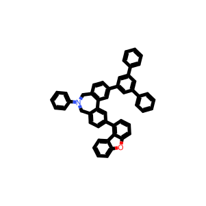 c1ccc(-c2cc(-c3ccccc3)cc(-c3ccc4c(c3)-c3cc(-c5cccc6oc7ccccc7c56)ccc3CN(c3ccccc3)C4)c2)cc1